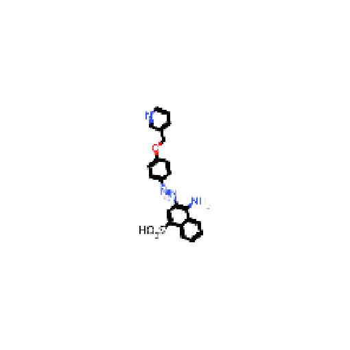 Nc1c(/N=N/c2ccc(OCc3cccnc3)cc2)cc(S(=O)(=O)O)c2ccccc12